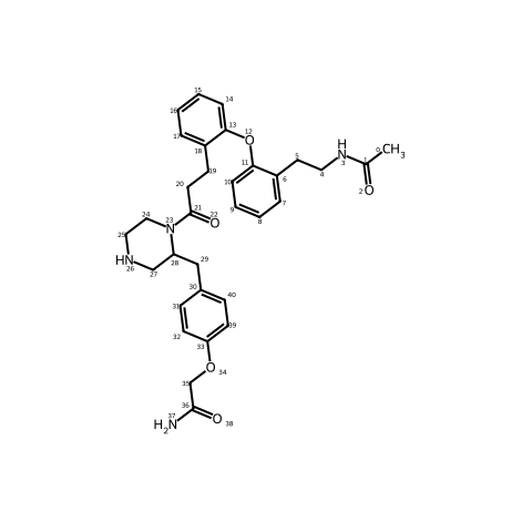 CC(=O)NCCc1ccccc1Oc1ccccc1CCC(=O)N1CCNCC1Cc1ccc(OCC(N)=O)cc1